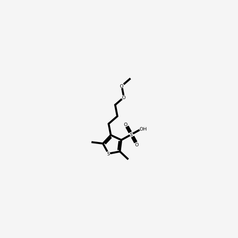 COOCCCc1c(C)sc(C)c1S(=O)(=O)O